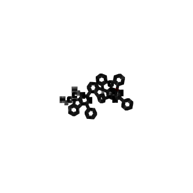 CC1(C)c2ccccc2-c2c(-c3ccccc3)nc(-c3cccc4c3-c3cccc(-c5nc(-c6ccccc6)nc(-c6ccccc6)n5)c3C43c4ccccc4Oc4ccccc43)nc21